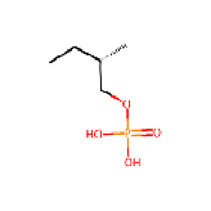 CC[C@H](C)COP(=O)(O)O